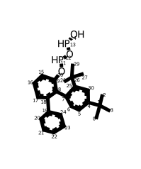 CC(C)(C)c1ccc(-c2c(OPOPO)cccc2-c2ccccc2)c(C(C)(C)C)c1